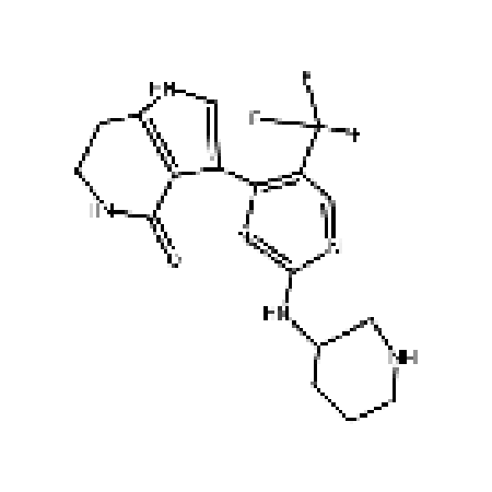 O=C1NCCc2[nH]cc(-c3nc(NC4CCCNC4)ncc3C(F)(F)F)c21